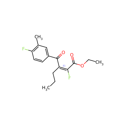 CCC/C(C(=O)c1ccc(F)c(C)c1)=C(\F)C(=O)OCC